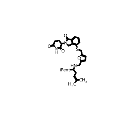 CCCC(C)C(CC=C(C)C)NCc1ccc(CSc2cccc3c2CN(C2CCC(=O)NC2=O)C3=O)o1